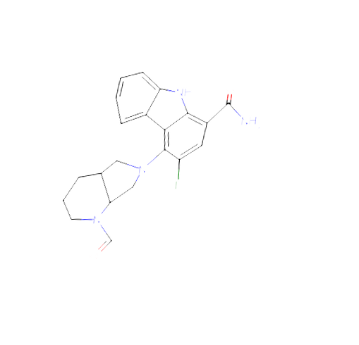 NC(=O)c1cc(F)c(N2CC3CCCN(C=O)C3C2)c2c1[nH]c1ccccc12